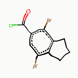 O=C(Cl)c1cc(Br)c2c(c1Br)CCC2